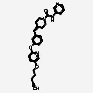 C#CCCCOc1ccc(Oc2cccc(C=C3CCN(C(=O)Nc4cccnc4)CC3)c2)nc1